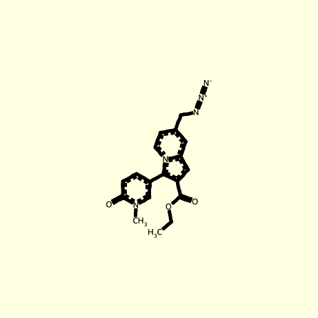 CCOC(=O)c1cc2cc(CN=[N+]=[N-])ccn2c1-c1ccc(=O)n(C)c1